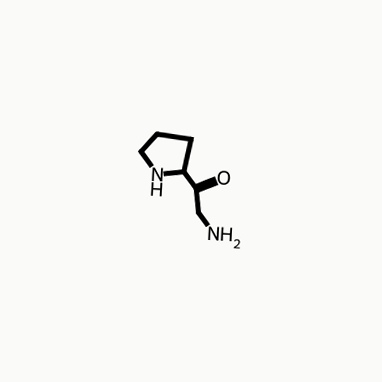 NCC(=O)C1CCCN1